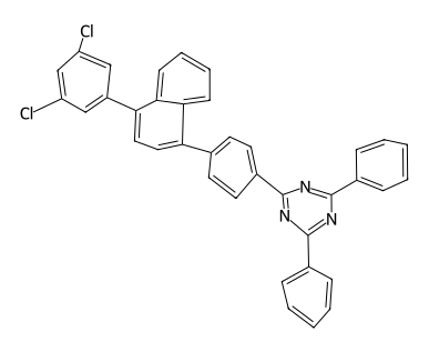 Clc1cc(Cl)cc(-c2ccc(-c3ccc(-c4nc(-c5ccccc5)nc(-c5ccccc5)n4)cc3)c3ccccc23)c1